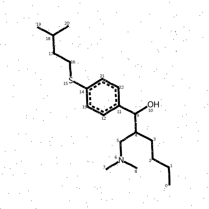 CCCCC(CN(C)C)C(O)c1ccc(SCCC(C)C)cc1